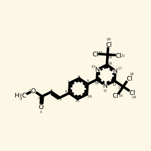 COC(=O)C=Cc1ccc(-c2nc(C(Cl)(Cl)Cl)nc(C(Cl)(Cl)Cl)n2)cc1